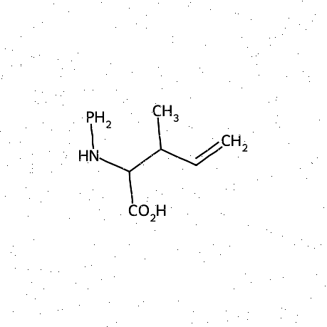 C=CC(C)C(NP)C(=O)O